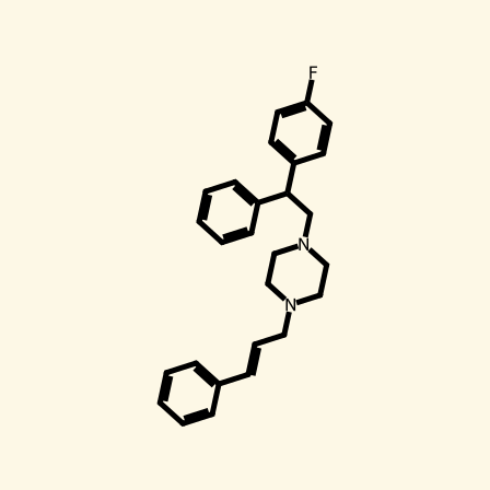 Fc1ccc(C(CN2CCN(C/C=C/c3ccccc3)CC2)c2ccccc2)cc1